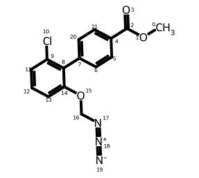 COC(=O)c1ccc(-c2c(Cl)cccc2OCN=[N+]=[N-])cc1